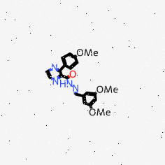 COc1ccc(-c2nccnc2C(=O)N/N=C/c2cc(OC)cc(OC)c2)cc1